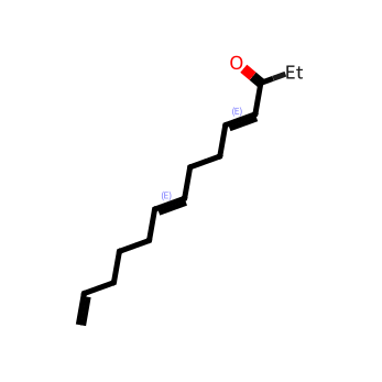 C=CCCC/C=C/CC/C=C/C(=O)CC